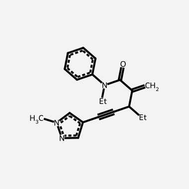 C=C(C(=O)N(CC)c1ccccc1)C(C#Cc1cnn(C)c1)CC